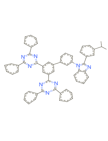 CC(C)c1cccc(-c2nc3ccccc3n2-c2cccc(-c3cc(-c4nc(-c5ccccc5)nc(-c5ccccc5)n4)cc(-c4nc(-c5ccccc5)nc(-c5ccccc5)n4)c3)c2)c1